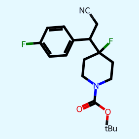 CC(C)(C)OC(=O)N1CCC(F)(C(CC#N)c2ccc(F)cc2)CC1